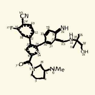 CNC1CCCN(C(=O)c2cc(-c3ccc(C#N)c(F)c3)c(C3=C/C(=C/NC(C)(C)CO)C(=N)C=C3)s2)C1